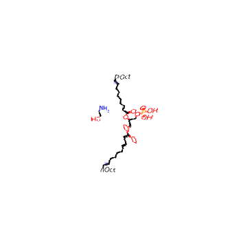 CCCCCCCC/C=C/CCCCCCCC(=O)OCC(COP(=O)(O)O)OC(=O)CCCCCCC/C=C/CCCCCCCC.NCCO